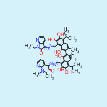 CCN(C)c1ncccc1/C(C=O)=N/N=C/c1c(O)c(O)c(C(C)C)c2cc(C)c(-c3c(C)cc4c(C(C)C)c(O)c(O)c(/C=N/N=C5/C(=O)N(CC)c6ncccc65)c4c3O)c(O)c12